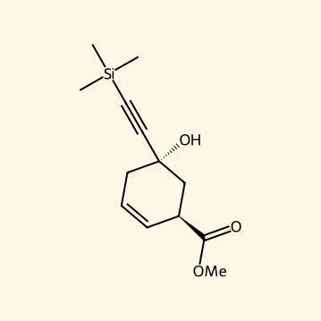 COC(=O)[C@H]1C=CC[C@@](O)(C#C[Si](C)(C)C)C1